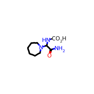 NC(=O)C(NC(=O)O)N1CCCCCC1